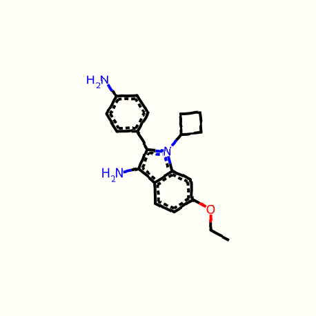 CCOc1ccc2c(N)c(-c3ccc(N)cc3)n(C3CCC3)c2c1